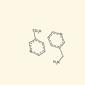 NCc1cccnc1.O=C(O)c1cccnc1